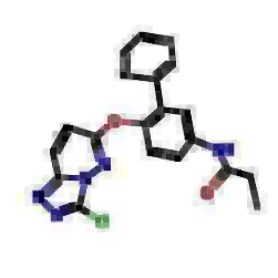 CCC(=O)Nc1ccc(Oc2ccc3nnc(Cl)n3n2)c(-c2ccccc2)c1